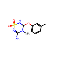 CCCCN1C(N)=NS(=O)(=O)NC1Oc1cccc(C)c1